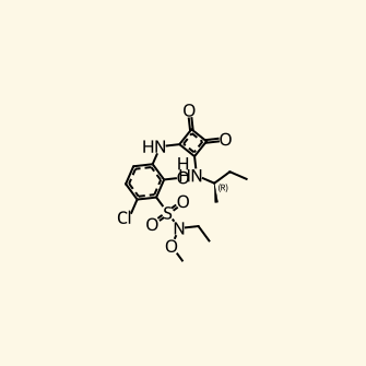 CC[C@@H](C)Nc1c(Nc2ccc(Cl)c(S(=O)(=O)N(CC)OC)c2O)c(=O)c1=O